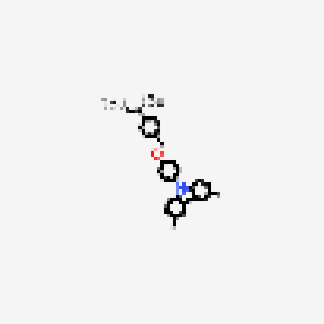 Cc1ccc2c(c1)c1cc(C)ccc1n2-c1ccc(OCc2ccc(C(CC(C)(C)C)C(C)(C)C)cc2)cc1